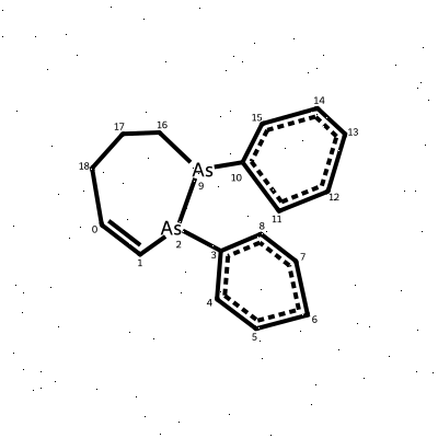 C1=C[As](c2ccccc2)[As](c2ccccc2)CCC1